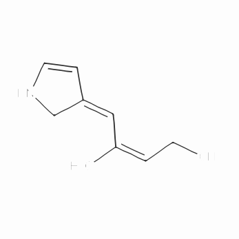 CC/C=C(C)\C=C1\C=CNC1